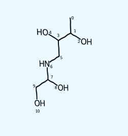 CC(O)C(O)CNC(O)CO